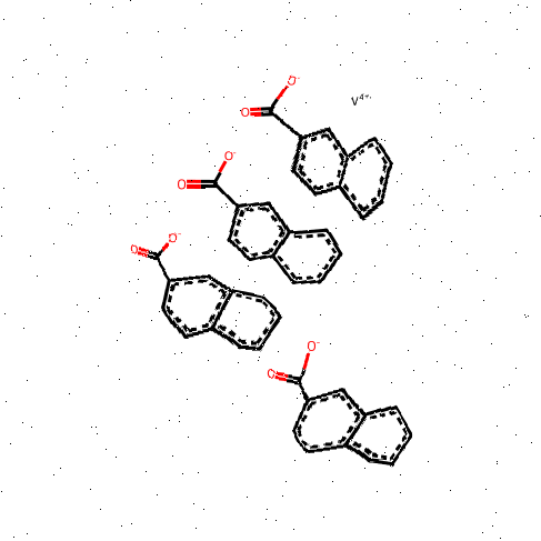 O=C([O-])c1ccc2ccccc2c1.O=C([O-])c1ccc2ccccc2c1.O=C([O-])c1ccc2ccccc2c1.O=C([O-])c1ccc2ccccc2c1.[V+4]